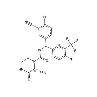 C[C@@H]1C(=O)NCCN1C(=O)NC(c1ccc(Cl)c(C#N)c1)c1ccc(F)c(C(F)(F)F)n1